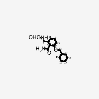 NC(=O)c1c(CN[C]=O)cccc1OCc1ccccc1